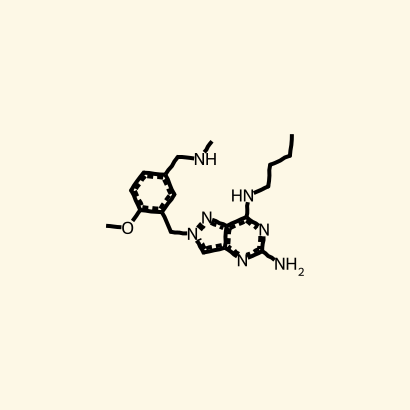 CCCCNc1nc(N)nc2cn(Cc3cc(CNC)ccc3OC)nc12